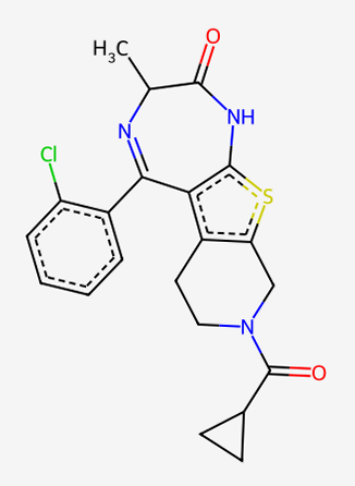 CC1N=C(c2ccccc2Cl)c2c(sc3c2CCN(C(=O)C2CC2)C3)NC1=O